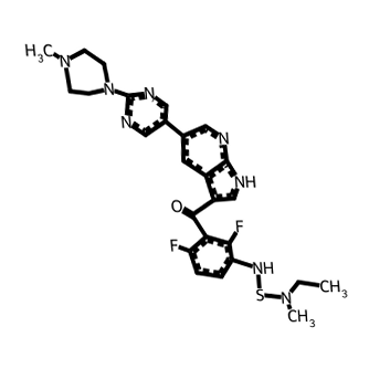 CCN(C)SNc1ccc(F)c(C(=O)c2c[nH]c3ncc(-c4cnc(N5CCN(C)CC5)nc4)cc23)c1F